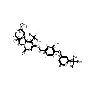 C[C@H]1CN2c3c(C(F)(F)F)c(OCc4ccc(Oc5ccnc(C(F)(F)F)c5)c(F)c4)nc(=O)n3C[C@]2(C)CO1